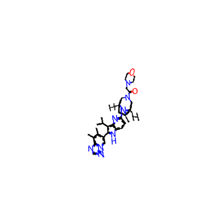 Cc1c(-c2[nH]c3ccc(N4[C@@H]5C[C@H](C)[C@H]4CN(C(=O)CN4CCOCC4)C5)nc3c2C(C)C)cn2ncnc2c1C